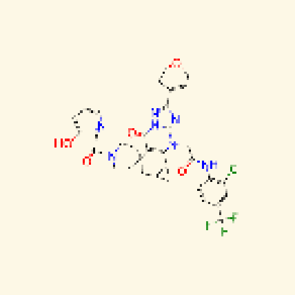 O=C(Cn1c2c(c(=O)n3nc(C4=CCOCC4)nc13)C1(CCN(C(=O)c3ncccc3O)CC1)CC1CC21)Nc1ccc(C(F)(F)F)cc1Cl